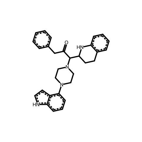 O=C(Cc1ccccc1)C(C1CCc2ccccc2N1)N1CCN(c2cccc3[nH]ccc23)CC1